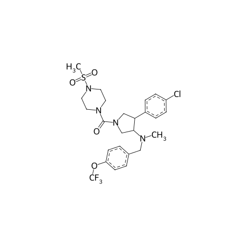 CN(Cc1ccc(OC(F)(F)F)cc1)C1CN(C(=O)N2CCN(S(C)(=O)=O)CC2)CC1c1ccc(Cl)cc1